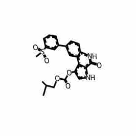 CC(C)COC(=O)Oc1c[nH]c2c(=O)[nH]c3ccc(-c4cccc(S(C)(=O)=O)c4)cc3c12